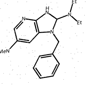 CCN(CC)C1Nc2ncc(NC)cc2N1Cc1ccccc1